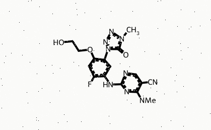 CNc1nc(Nc2cc(-n3nnn(C)c3=O)c(OCCO)cc2F)ncc1C#N